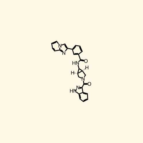 O=C(NC1[C@H]2CN(C(=O)c3n[nH]c4ccccc34)C[C@@H]12)c1cccc(-c2cn3ccccc3n2)c1